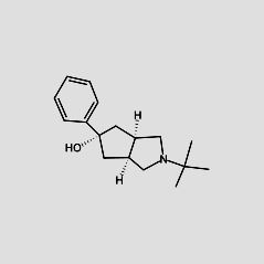 CC(C)(C)N1C[C@@H]2C[C@](O)(c3ccccc3)C[C@@H]2C1